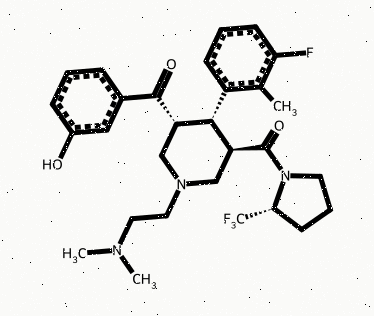 Cc1c(F)cccc1[C@H]1[C@@H](C(=O)c2cccc(O)c2)CN(CCN(C)C)C[C@@H]1C(=O)N1CCC[C@@H]1C(F)(F)F